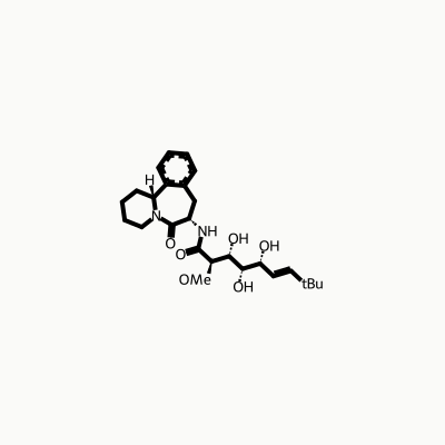 CO[C@@H](C(=O)N[C@H]1Cc2ccccc2[C@H]2CCCCN2C1=O)[C@H](O)[C@@H](O)[C@H](O)C=CC(C)(C)C